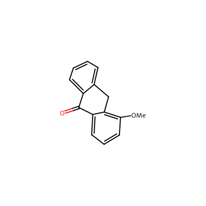 COc1cccc2c1Cc1ccccc1C2=O